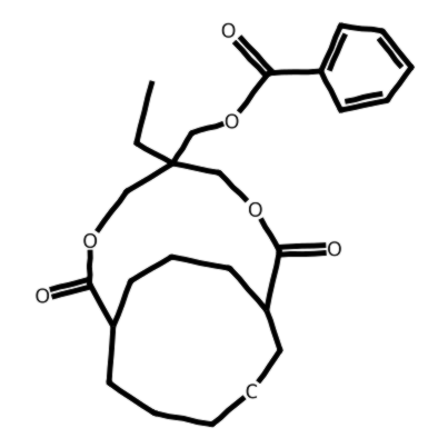 CCC1(COC(=O)c2ccccc2)COC(=O)C2CCCCCC(CCC2)C(=O)OC1